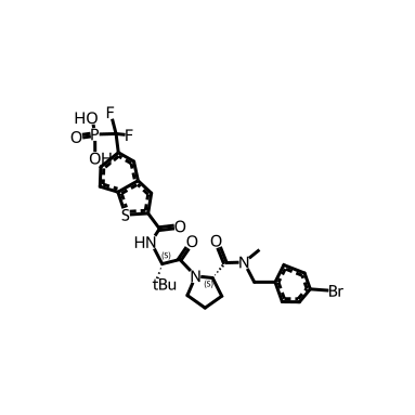 CN(Cc1ccc(Br)cc1)C(=O)[C@@H]1CCCN1C(=O)[C@@H](NC(=O)c1cc2cc(C(F)(F)P(=O)(O)O)ccc2s1)C(C)(C)C